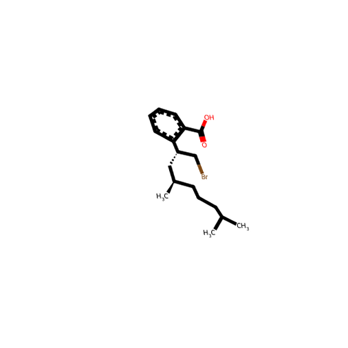 CC(C)CCC[C@@H](C)C[C@@H](CBr)c1ccccc1C(=O)O